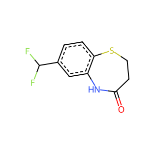 O=C1CCSc2ccc(C(F)F)cc2N1